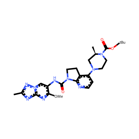 COc1nc2nc(C)nn2cc1NC(=O)N1CCc2c(N3CCN(C(=O)OC(C)(C)C)[C@H](C)C3)ccnc21